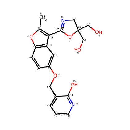 Cc1oc2ccc(OCc3cccnc3O)cc2c1C1=NCC(CO)(CO)O1